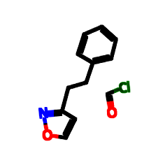 O=CCl.c1ccc(CCc2ccon2)cc1